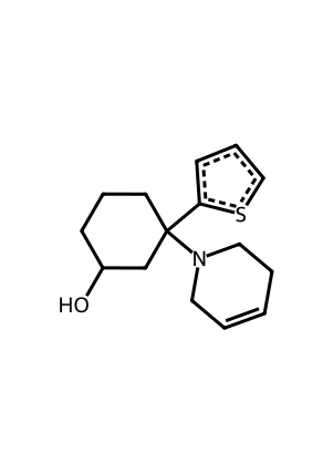 OC1CCCC(c2cccs2)(N2CC=CCC2)C1